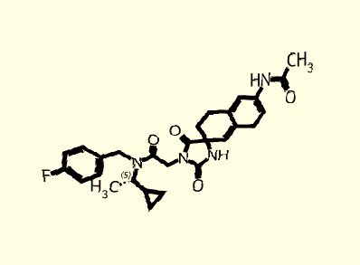 CC(=O)NC1=CCC2=CC3(CCC2=C1)NC(=O)N(CC(=O)N(Cc1ccc(F)cc1)[C@@H](C)C1CC1)C3=O